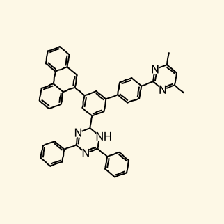 Cc1cc(C)nc(-c2ccc(-c3cc(-c4cc5ccccc5c5ccccc45)cc(C4N=C(c5ccccc5)N=C(c5ccccc5)N4)c3)cc2)n1